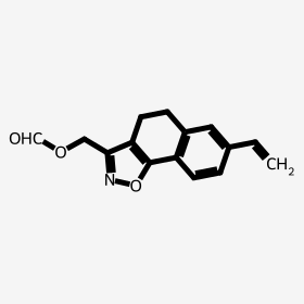 C=Cc1ccc2c(c1)CCc1c(COC=O)noc1-2